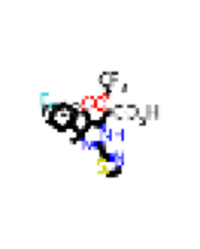 COC(=O)C1=C(C(OCC(F)(F)F)C(=O)O)NC(c2nccs2)=NC1(C)c1ccc(F)cc1